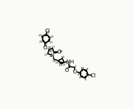 O=C(COc1ccc(Cl)cc1)NC12CC(CN3C[C@H](Oc4ccc(Cl)cc4)CC3=O)(C1)C2